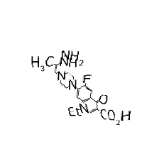 CCn1cc(C(=O)O)c(=O)c2cc(F)c(N3CCN(CC(C)NN)CC3)cc21